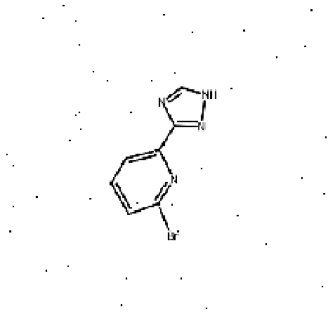 Brc1cccc(-c2nc[nH]n2)n1